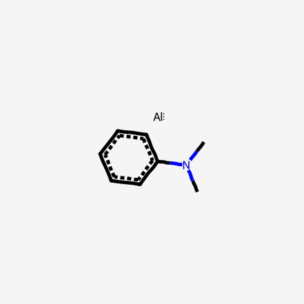 CN(C)c1ccccc1.[Al]